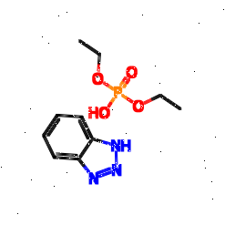 CCOP(=O)(O)OCC.c1ccc2[nH]nnc2c1